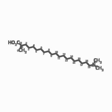 C=C(CCCCCCCCCCCCCCCCCCN(C)C)C(=O)O